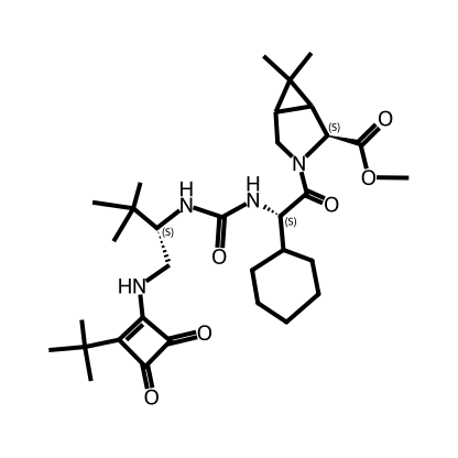 COC(=O)[C@@H]1C2C(CN1C(=O)[C@@H](NC(=O)N[C@H](CNc1c(C(C)(C)C)c(=O)c1=O)C(C)(C)C)C1CCCCC1)C2(C)C